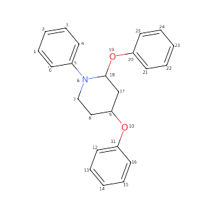 [c]1ccccc1N1CCC(Oc2ccccc2)CC1Oc1ccccc1